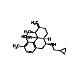 C=C1CC[C@H]2[C@@H](NCC3CC3)Cc3ccc(C)c(O)c3C2(CCC)[C@H]1C